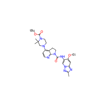 CCOc1cc2nc(C)nn2cc1NC(=O)N1CCc2c(N3CCN(C(=O)OC(C)(C)C)C(C)(C)C3)ccnc21